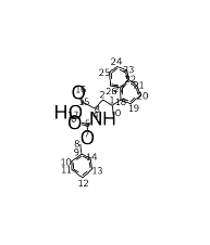 CC(CC(NC(=O)OCc1ccccc1)C(=O)O)c1cccc2ccccc12